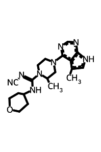 Cc1c[nH]c2ncnc(N3CCN(C(=NC#N)NC4CCOCC4)C(C)C3)c12